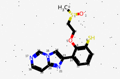 C[S+]([O-])CCOc1c(S)cccc1-c1cn2cnccc2n1